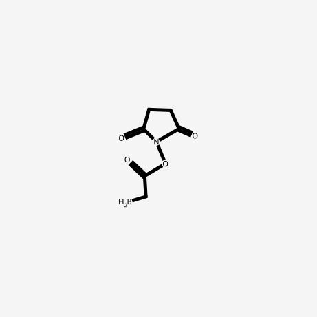 BCC(=O)ON1C(=O)CCC1=O